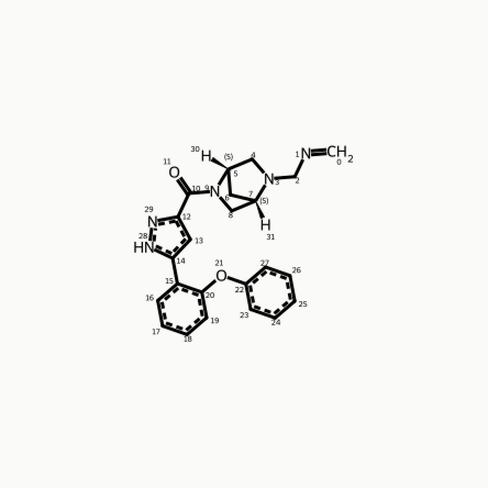 C=NCN1C[C@@H]2C[C@H]1CN2C(=O)c1cc(-c2ccccc2Oc2ccccc2)[nH]n1